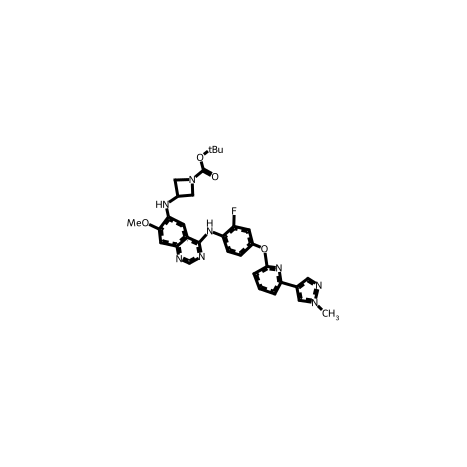 COc1cc2ncnc(Nc3ccc(Oc4cccc(-c5cnn(C)c5)n4)cc3F)c2cc1NC1CN(C(=O)OC(C)(C)C)C1